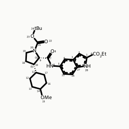 CCOC(=O)c1cc2cc(NC(=O)[C@@H]3[C@H](C4CCC(OC)CC4)CCN3C(=O)OC(C)(C)C)ccc2[nH]1